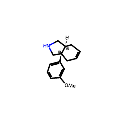 COc1cccc([C@]23CC=CC[C@@H]2CNC3)c1